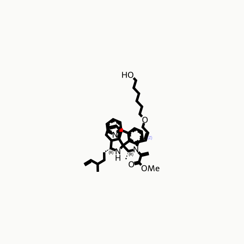 C=CC(C)CC[C@H]1NC(c2ccccc2-c2ccccn2)([C@@H](C)N(C/C=C\COCCCCCCO)C(=C)C(=O)OC)C2=CC=CCC21